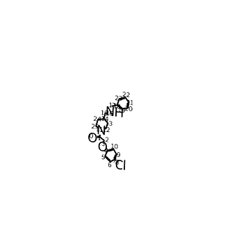 O=C(COc1ccc(Cl)cc1)N1CCC(CNCc2ccccc2)CC1